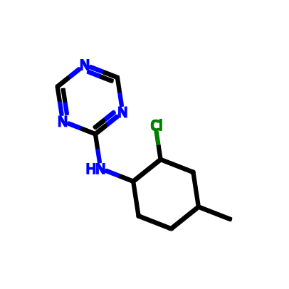 CC1CCC(Nc2ncncn2)C(Cl)C1